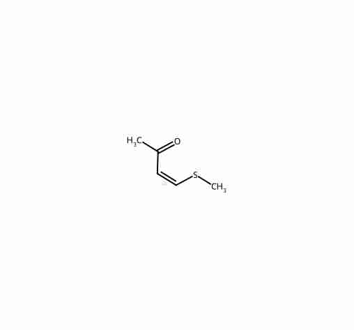 CS/C=C\C(C)=O